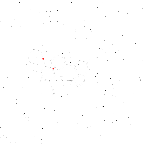 C#Cc1c(F)c(F)c(CN2C3CC2CN(c2ccc(-c4cc(OCC(C)(C)O)cn5ncc(C#N)c45)cn2)C3)c(F)c1F